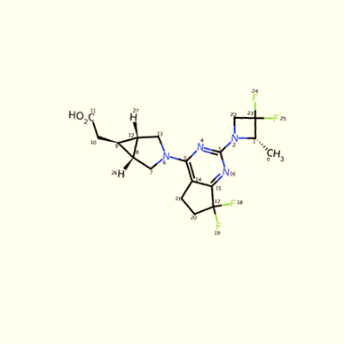 C[C@@H]1N(c2nc(N3C[C@@H]4[C@@H](CC(=O)O)[C@@H]4C3)c3c(n2)C(F)(F)CC3)CC1(F)F